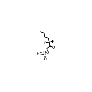 CCCCC(F)(F)C(=O)CO[PH](=O)O